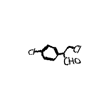 O=CC(CCl)c1ccc(Cl)cc1